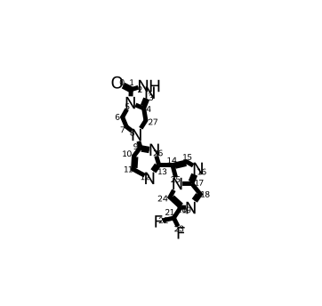 O=c1[nH]nc2n1CCN(c1ccnc(-c3cnc4cnc(C(F)F)cn34)n1)C2